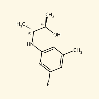 Cc1cc(F)nc(N[C@H](C)[C@@H](C)O)c1